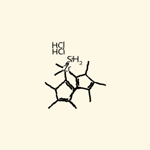 CC1=C(C)C(C)[C]([Zr]([CH3])([CH3])(=[SiH2])[C]2=C(C)C(C)=C(C)C2C)=C1C.Cl.Cl